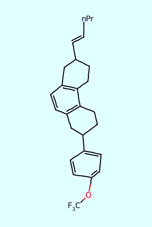 CCC/C=C/C1CCc2c(ccc3c2CCC(c2ccc(OC(F)(F)F)cc2)C3)C1